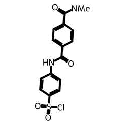 CNC(=O)c1ccc(C(=O)Nc2ccc(S(=O)(=O)Cl)cc2)cc1